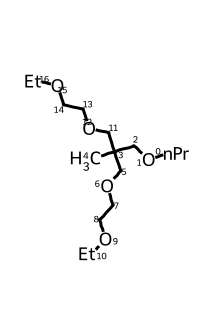 CCCOCC(C)(COCCOCC)COCCOCC